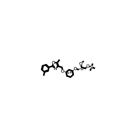 CO[C@@H](CO[C@@H]1CCC[C@H](OCc2nc(-c3cccc(C)c3)oc2C)C1)CO[Si](C)(C)C